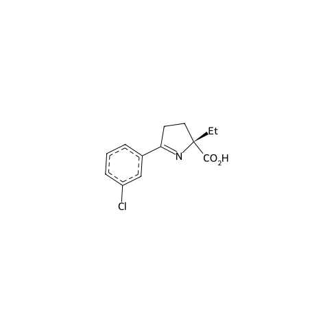 CC[C@]1(C(=O)O)CCC(c2cccc(Cl)c2)=N1